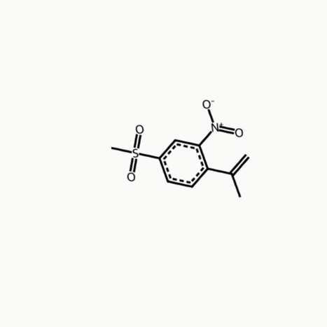 C=C(C)c1ccc(S(C)(=O)=O)cc1[N+](=O)[O-]